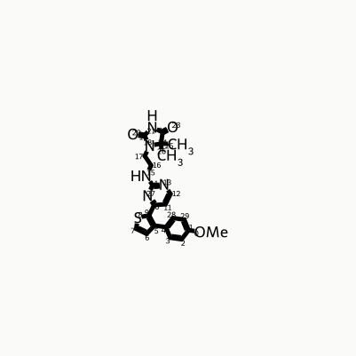 COc1ccc(-c2ccsc2-c2ccnc(NCCN3C(=O)NC(=O)C3(C)C)n2)cc1